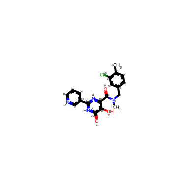 Cc1ccc(CN(C)C(=O)c2nc(-c3cccnc3)[nH]c(=O)c2O)cc1Cl